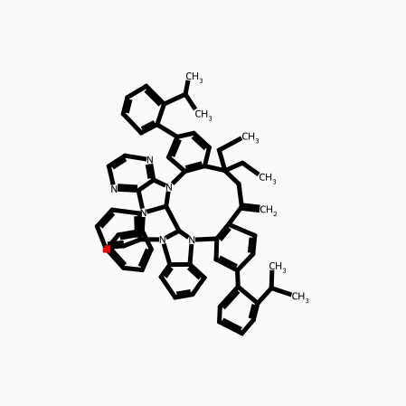 C=C1CC(CC)(CC)c2ccc(-c3ccccc3C(C)C)cc2N2c3nccnc3N(c3ccccc3)C2C2N(c3ccccc3)c3ccccc3N2c2cc(-c3ccccc3C(C)C)ccc21